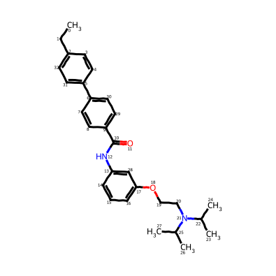 CCc1ccc(-c2ccc(C(=O)Nc3cccc(OCCN(C(C)C)C(C)C)c3)cc2)cc1